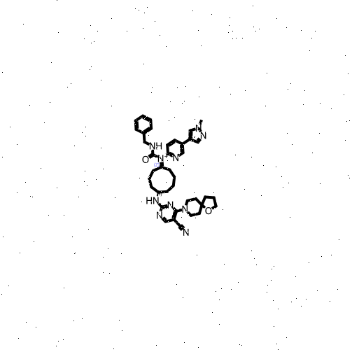 Cn1cc(-c2ccc(/[N+](C(=O)NCc3ccccc3)=C3\CCCC[C@H](Nc4ncc(C#N)c(N5CCC6(CCCO6)CC5)n4)CCC3)nc2)cn1